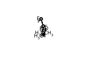 CN1C(=O)N(c2c(F)cc(C#Cc3cccc(F)c3F)cc2F)C(=O)C[C@@]1(C)c1cnn(C)c1